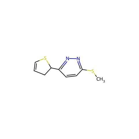 CSc1ccc(C2CC=CS2)nn1